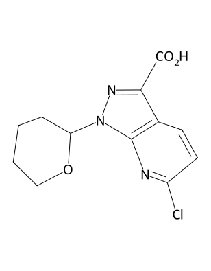 O=C(O)c1nn(C2CCCCO2)c2nc(Cl)ccc12